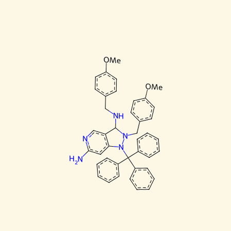 COc1ccc(CNC2c3cnc(N)cc3N(C(c3ccccc3)(c3ccccc3)c3ccccc3)N2Cc2ccc(OC)cc2)cc1